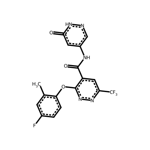 Cc1cc(F)ccc1Oc1nnc(C(F)(F)F)cc1C(=O)Nc1cn[nH]c(=O)c1